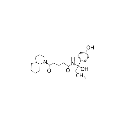 CCC(O)(NC(=O)CCCC(=O)N1CCCC2CCCCC21)c1ccc(O)cc1